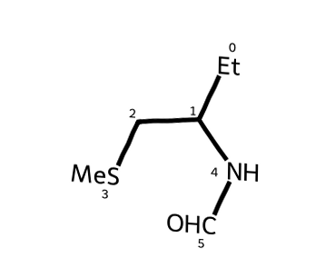 CCC(CSC)NC=O